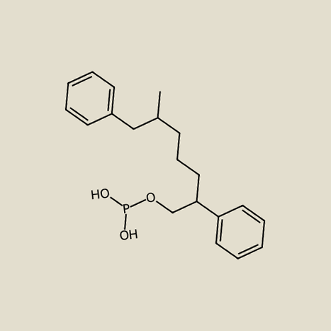 CC(CCCC(COP(O)O)c1ccccc1)Cc1ccccc1